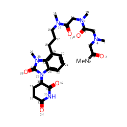 CNC(=O)CN(C)CC(=O)N(C)CC(=O)N(C)CCCc1cccc2c1n(C)c(=O)n2C1CCC(=O)NC1=O